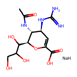 CC(=O)N[C@@H]1[C@@H](NC(=N)N)C=C(C(=O)O)O[C@H]1C(O)C(O)CO.[NaH]